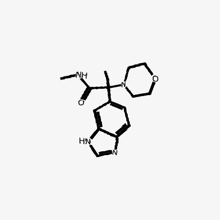 CNC(=O)C(C)(c1ccc2nc[nH]c2c1)N1CCOCC1